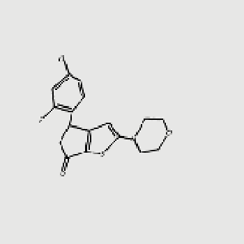 O=C1CC(c2ccc(Cl)cc2F)c2cc(N3CCOCC3)sc21